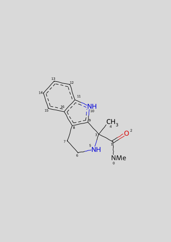 CNC(=O)C1(C)NCCc2c1[nH]c1ccccc21